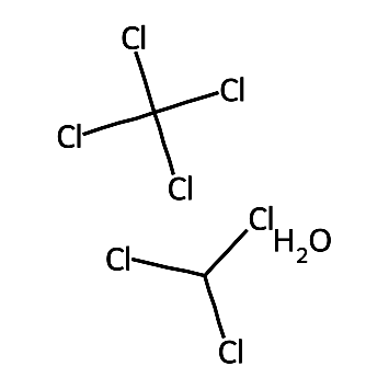 ClC(Cl)(Cl)Cl.ClC(Cl)Cl.O